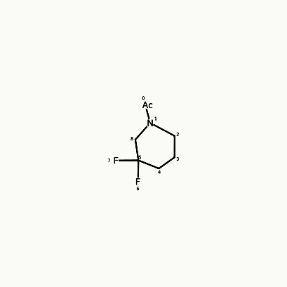 CC(=O)N1CCCC(F)(F)C1